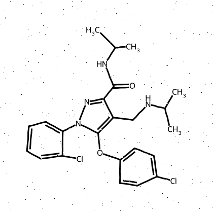 CC(C)NCc1c(C(=O)NC(C)C)nn(-c2ccccc2Cl)c1Oc1ccc(Cl)cc1